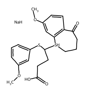 COc1cccc(SC(CCC(=O)O)[SH]2CCCC(=O)c3ccc(OC)cc32)c1.[NaH]